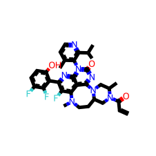 C=CC(=O)N1CC2CCN(C)c3c(F)c(-c4c(O)ccc(F)c4F)nc4c3c(nc(=O)n4-c3c(C)ccnc3C(C)C)N2CC1C